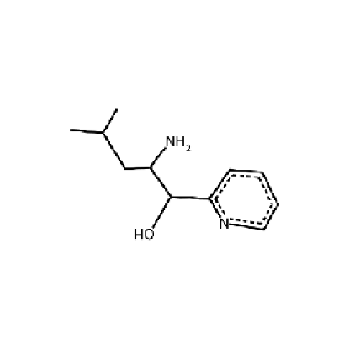 CC(C)CC(N)C(O)c1ccccn1